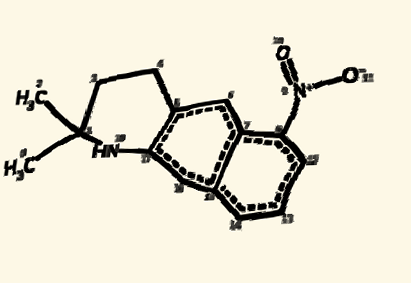 CC1(C)CCc2cc3c([N+](=O)[O-])cccc3cc2N1